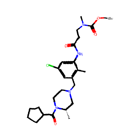 Cc1c(CN2CCN(C(=O)C3CCCC3)[C@@H](C)C2)cc(Cl)cc1NC(=O)CCN(C)C(=O)OC(C)(C)C